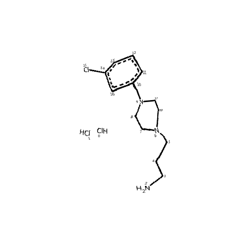 Cl.Cl.NCCCN1CCN(c2cccc(Cl)c2)CC1